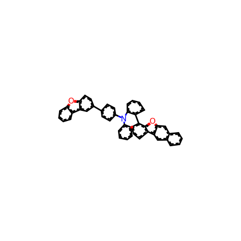 c1ccc(N(c2ccc(-c3ccc4oc5ccccc5c4c3)cc2)c2ccccc2-c2cccc3c2oc2cc4ccccc4cc23)cc1